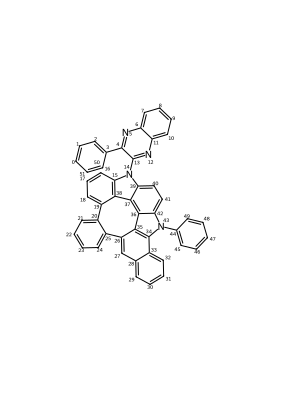 c1ccc(-c2nc3ccccc3nc2-n2c3cccc4c5ccccc5c5cc6ccccc6c6c5c5c(c43)c2ccc5n6-c2ccccc2)cc1